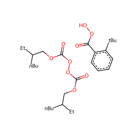 CC(C)(C)c1ccccc1C(=O)OO.CCCCC(CC)COC(=O)OOC(=O)OCC(CC)CCCC